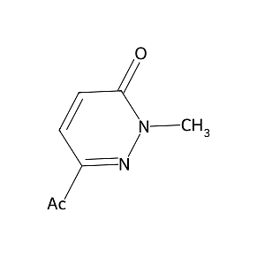 CC(=O)c1ccc(=O)n(C)n1